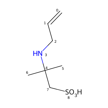 C=CCNC(C)(C)CS(=O)(=O)O